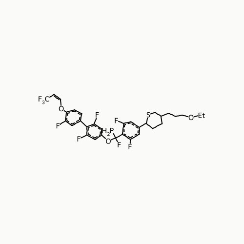 CCOCCCC1CCC(c2cc(F)c(C(F)(P)Oc3cc(F)c(-c4ccc(O/C=C\C(F)(F)F)c(F)c4)c(F)c3)c(F)c2)SC1